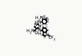 NC(=O)c1cnc(N[C@@H]2CCCC(F)(F)[C@@H]2N)nc1Nc1cccc2c1ccn2CC(F)(F)F